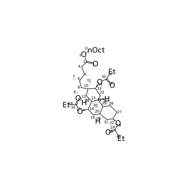 CCCCCCCCOC(=O)CC[C@@H](C)[C@@H](C)[C@]1(C)C[C@@H]2[C@H](OC(=O)CC)C[C@@H]3C[C@H](OC(=O)CC)CC[C@]3(C)[C@H]2C[C@@H]1OC(=O)CC